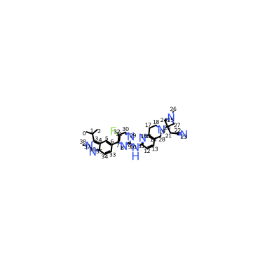 CC(C)c1c2cc(-c3nc(Nc4ccc5c(n4)CCN(C4(CC#N)CN(C)C4)C5)ncc3F)ccc2nn1C